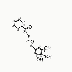 O=C(OCCOCc1cc(O)c(O)c(O)c1)C1CC=CCC1